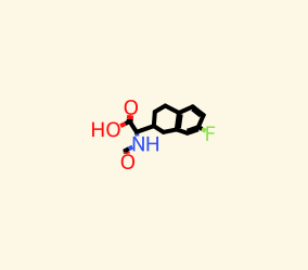 O=CNC(C(=O)O)C1CCc2ccc(F)cc2C1